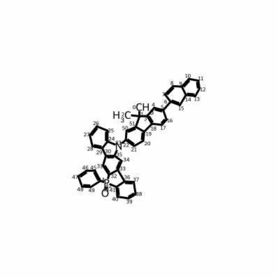 CC1(C)c2cc(-c3ccc4ccccc4c3)ccc2-c2ccc(-n3c4ccccc4c4cc5c(cc43)-c3ccccc3P5(=O)c3ccccc3)cc21